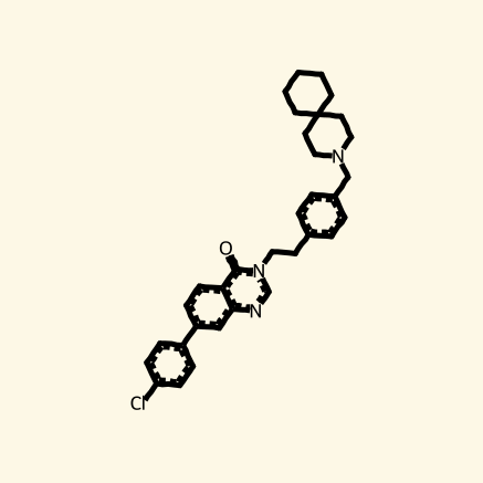 O=c1c2ccc(-c3ccc(Cl)cc3)cc2ncn1CCc1ccc(CN2CCC3(CCCCC3)CC2)cc1